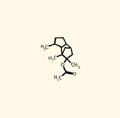 CC(=O)OC1(C)CC2CC1(C)C1C(C)CCC21